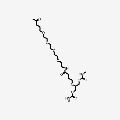 CNC(=O)OCC(COC(=O)NC)OCCCC(=O)NCCOCCOCCOCCOCCCC(C)=O